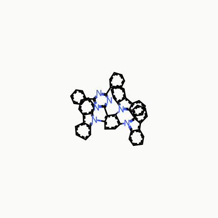 c1ccc(-c2nc(-c3ccccc3)nc(-c3c(-n4c5ccccc5c5ccccc54)ccc(-n4c5ccccc5c5ccccc54)c3-n3c4ccccc4c4ccccc43)n2)cc1